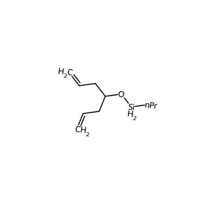 C=CCC(CC=C)O[SiH2]CCC